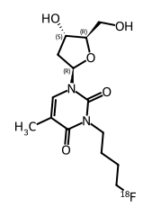 Cc1cn([C@H]2C[C@H](O)[C@@H](CO)O2)c(=O)n(CCCC[18F])c1=O